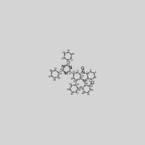 O=Nc1ccccc1N1c2ccc(-c3nc(-c4ccccc4)nc(-c4ccccc4)n3)cc2-c2ccccc2-c2cccc(Cl)c21